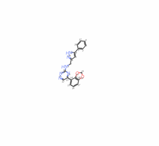 c1ccc(-c2cc(CNc3nncc(-c4cccc5c4OCO5)n3)n[nH]2)cc1